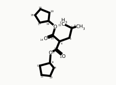 CC(C)CC(C(=O)OC1CCCC1)C(=O)OC1CCCC1